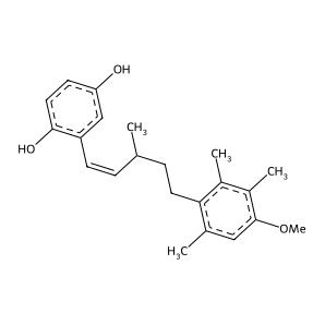 COc1cc(C)c(CCC(C)/C=C\c2cc(O)ccc2O)c(C)c1C